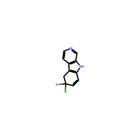 BrC1(Br)C=Cc2[nH]c3cnccc3c2C1